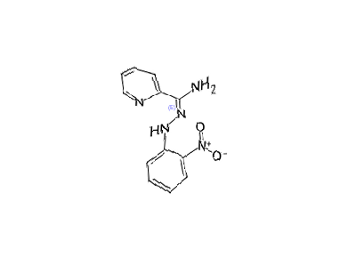 N/C(=N/Nc1ccccc1[N+](=O)[O-])c1ccccn1